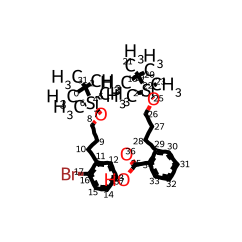 CC(C)(C)[Si](C)(C)OCCCc1ccccc1Br.CC(C)(C)[Si](C)(C)OCCCc1ccccc1C(=O)O